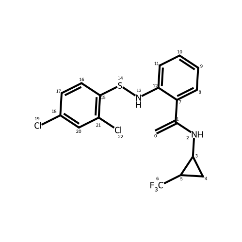 C=C(NC1CC1C(F)(F)F)c1ccccc1NSc1ccc(Cl)cc1Cl